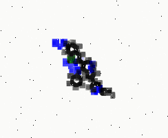 Cn1cc(-c2cc3c(NC4CCCCC4)c(/C(N)=C/c4ccc(N)cc4Cl)cnn3c2)cn1